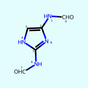 O=CNc1c[nH]c(NC=O)n1